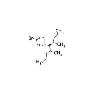 CCCC(C)P(c1ccc(Br)cc1)C(C)CCC